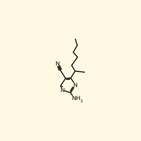 CCCCCC(C)c1nc(N)ncc1C#N